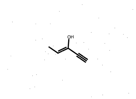 C#C/C(O)=C/C